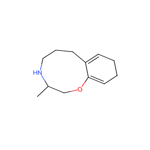 CC1COC2=CCCC=C2CCCN1